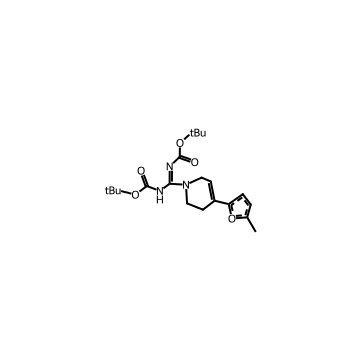 Cc1ccc(C2=CCN(/C(=N\C(=O)OC(C)(C)C)NC(=O)OC(C)(C)C)CC2)o1